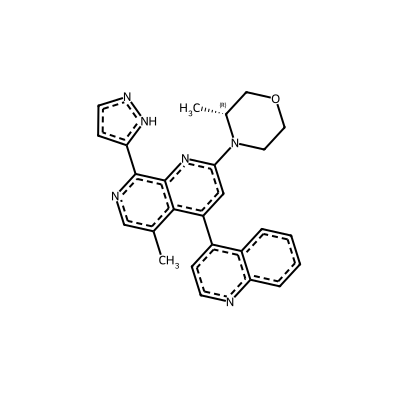 Cc1cnc(-c2ccn[nH]2)c2nc(N3CCOC[C@H]3C)cc(-c3ccnc4ccccc34)c12